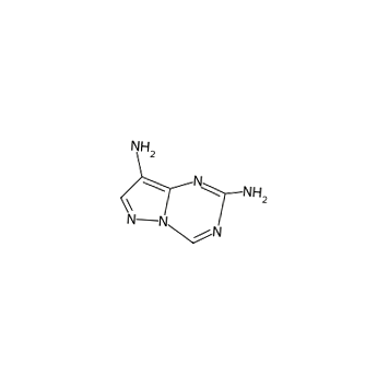 Nc1ncn2ncc(N)c2n1